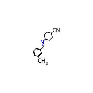 Cc1cccc(/C=N/C2CCC(C#N)CC2)c1